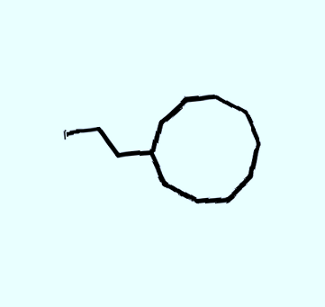 ICCC1CCCCCCCCC1